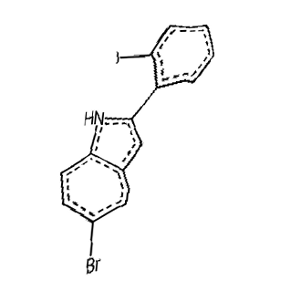 Brc1ccc2[nH]c(-c3ccccc3I)cc2c1